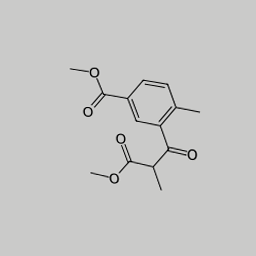 COC(=O)c1ccc(C)c(C(=O)C(C)C(=O)OC)c1